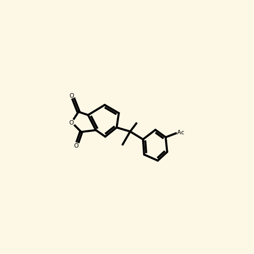 CC(=O)c1cccc(C(C)(C)c2ccc3c(c2)C(=O)OC3=O)c1